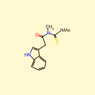 CNC(=S)N(C)C(=O)Cc1c[nH]c2ccccc12